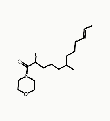 CC=CCCCC(C)CCCC(C)C(=O)N1CCOCC1